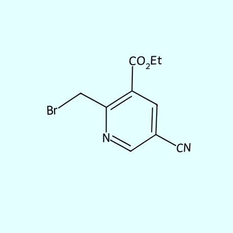 CCOC(=O)c1cc(C#N)cnc1CBr